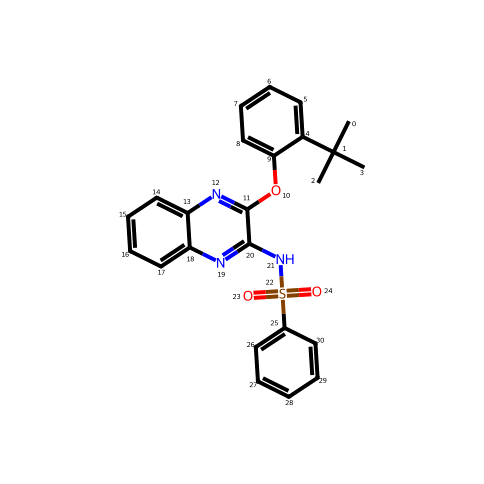 CC(C)(C)c1ccccc1Oc1nc2ccccc2nc1NS(=O)(=O)c1ccccc1